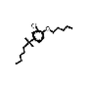 CCCC[CH]Oc1ccc(C(C)(C)CCCCC)cc1Cl